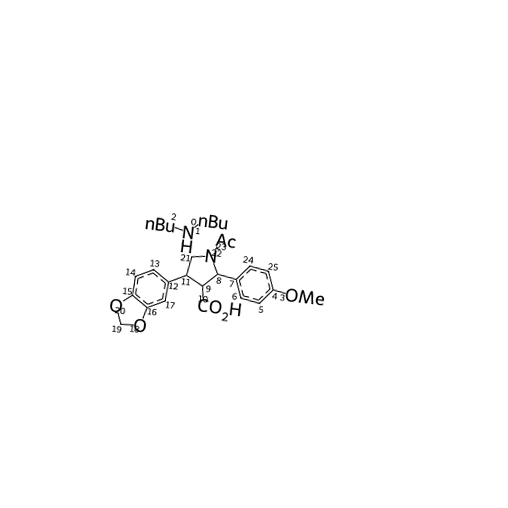 CCCCNCCCC.COc1ccc(C2C(C(=O)O)C(c3ccc4c(c3)OCO4)CN2C(C)=O)cc1